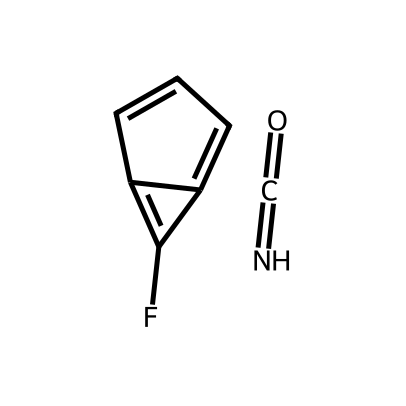 Fc1c2cccc1-2.N=C=O